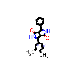 C=C/C=C\C(=C/C=C)C1=C2C(=O)NC(c3ccccc3)=C2C(=O)N1